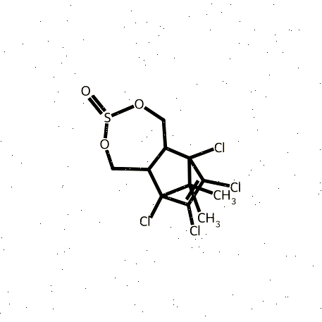 CC1(C)C2(Cl)C(Cl)=C(Cl)C1(Cl)C1COS(=O)OCC12